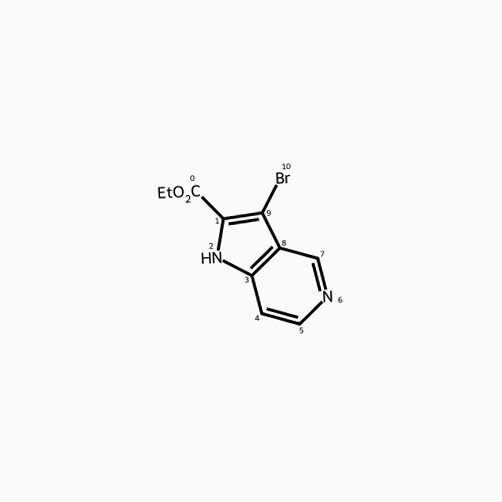 CCOC(=O)c1[nH]c2ccncc2c1Br